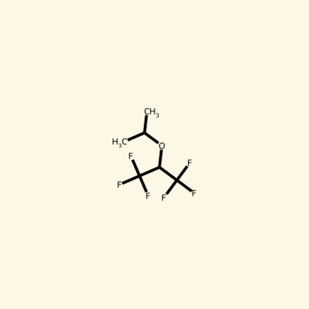 CC(C)OC(C(F)(F)F)C(F)(F)F